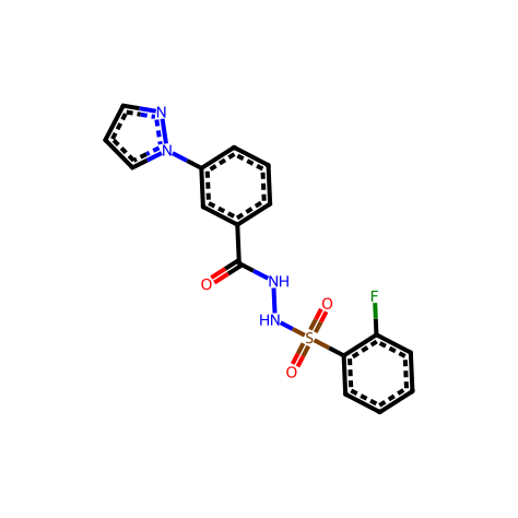 O=C(NNS(=O)(=O)c1ccccc1F)c1cccc(-n2cccn2)c1